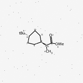 COC(=O)N(C)[C@H]1CC[C@H](C(C)(C)C)CC1